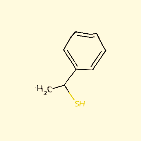 [CH2]C(S)c1ccccc1